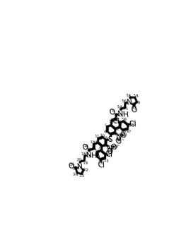 O=C(/C=C/c1ccc(Sc2ccc(/C=C/C(=O)NCCCN3CCCC3=O)c(-c3ccc(Cl)cc3Cl)c2[N+](=O)[O-])c([N+](=O)[O-])c1-c1ccc(Cl)cc1Cl)NCCCN1CCCC1=O